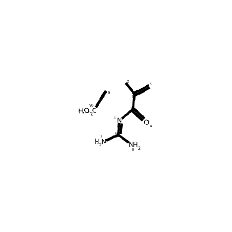 C=C(C)C(=O)N=C(N)N.CC(=O)O